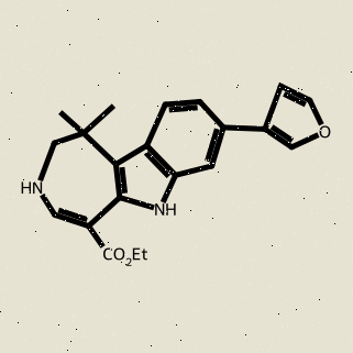 CCOC(=O)C1=CNCC(C)(C)c2c1[nH]c1cc(-c3ccoc3)ccc21